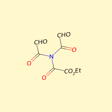 CCOC(=O)C(=O)N(C(=O)C=O)C(=O)C=O